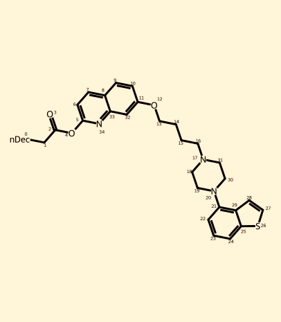 CCCCCCCCCCCC(=O)Oc1ccc2ccc(OCCCCN3CCN(c4cccc5sccc45)CC3)cc2n1